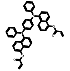 C=CC(=O)Oc1cccc2c(N(c3ccccc3)c3ccc(N(c4ccccc4)c4cccc5c(OC(=O)C=C)cccc45)cc3)cccc12